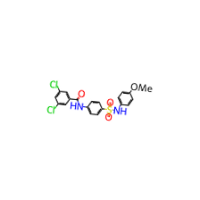 COc1ccc(NS(=O)(=O)c2ccc(NC(=O)c3cc(Cl)cc(Cl)c3)cc2)cc1